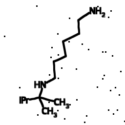 CC(C)C(C)(C)NCCCCCCN